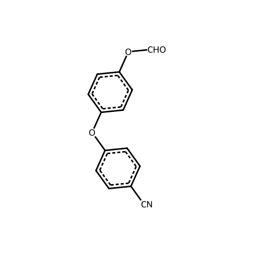 N#Cc1ccc(Oc2ccc(OC=O)cc2)cc1